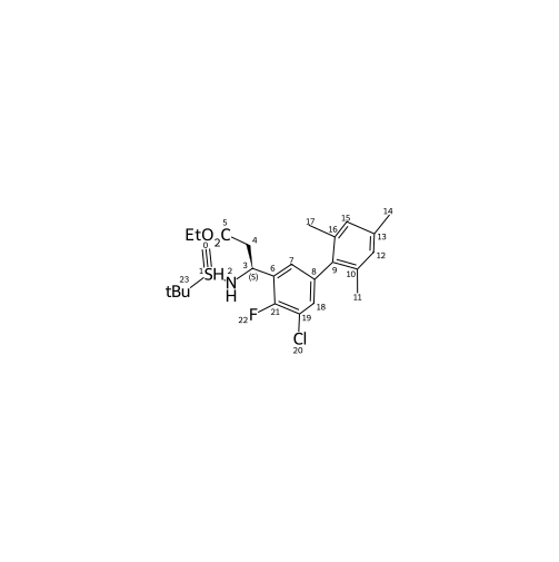 C#[SH](N[C@@H](CC(=O)OCC)c1cc(-c2c(C)cc(C)cc2C)cc(Cl)c1F)C(C)(C)C